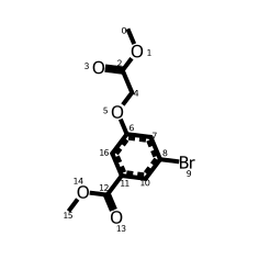 COC(=O)COc1cc(Br)cc(C(=O)OC)c1